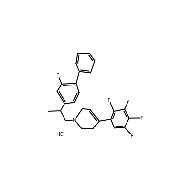 Cc1c(F)c(F)cc(C2=CCN(CC(C)c3ccc(-c4ccccc4)c(F)c3)CC2)c1F.Cl